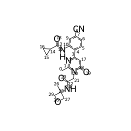 Cc1nc(-c2ccc(C#N)cc2NC(=O)C2CC2)cc(=O)n1CC(=O)NC1(C)COC1